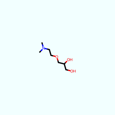 CN(C)CCOCC(O)CO